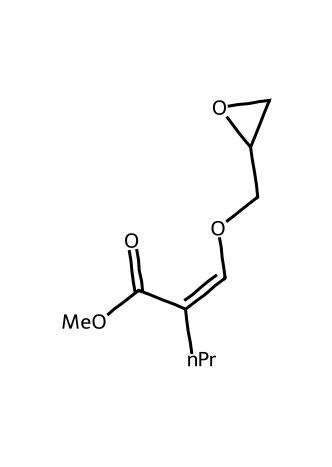 CCCC(=COCC1CO1)C(=O)OC